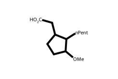 CCCCCC1C(CC(=O)O)CCC1OC